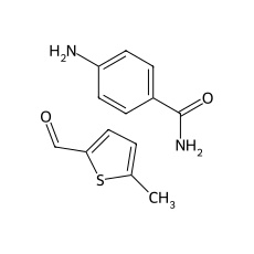 Cc1ccc(C=O)s1.NC(=O)c1ccc(N)cc1